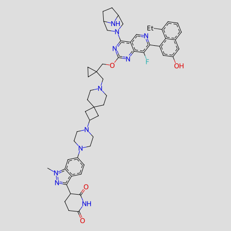 CCc1cccc2cc(O)cc(-c3ncc4c(N5CC6CCC(C5)N6)nc(OCC5(CN6CCC7(CC6)CC(N6CCN(c8ccc9c(C%10CCC(=O)NC%10=O)nn(C)c9c8)CC6)C7)CC5)nc4c3F)c12